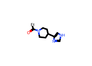 CCC(=O)N1CCC(c2c[nH]cn2)CC1